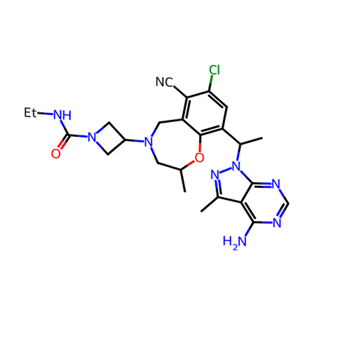 CCNC(=O)N1CC(N2Cc3c(C#N)c(Cl)cc(C(C)n4nc(C)c5c(N)ncnc54)c3OC(C)C2)C1